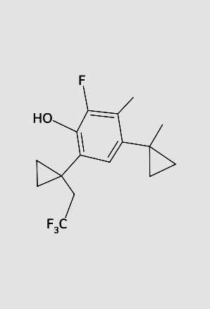 Cc1c(C2(C)CC2)cc(C2(CC(F)(F)F)CC2)c(O)c1F